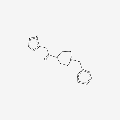 O=C(Cc1cccs1)N1CCN(Cc2ccccc2)CC1